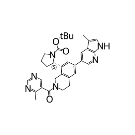 Cc1ncncc1C(=O)N1CCc2cc(-c3cnc4[nH]cc(C)c4c3)cc([C@@H]3CCCN3C(=O)OC(C)(C)C)c2C1